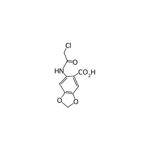 O=C(CCl)Nc1cc2c(cc1C(=O)O)OCO2